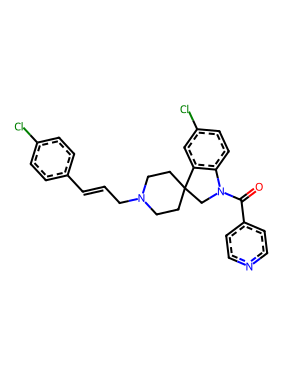 O=C(c1ccncc1)N1CC2(CCN(CC=Cc3ccc(Cl)cc3)CC2)c2cc(Cl)ccc21